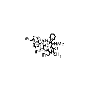 CNC(CC(=O)N(C)[C@@H](CC(C)C)C(=O)N[C@@H](CC(C)C)C(=O)N(C)[C@@H](CC(C)C)C(=O)N(C)[C@H](C)CC(C)C)C(=O)N1CCCCC1